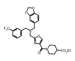 CCOC(=O)C1CCN(C(=O)c2csc(CN(Cc3cccc(C(F)(F)F)c3)Cc3ccc4c(c3)OCO4)n2)CC1